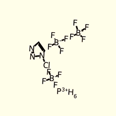 Cln1ccnn1.F[B-](F)(F)F.F[B-](F)(F)F.F[B-](F)(F)F.[PH6+3]